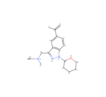 C=C(C)c1ccc2c(c1)c(CN(C)C[CH]C)nn2C1CCCCO1